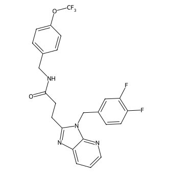 O=C(CCc1nc2cccnc2n1Cc1ccc(F)c(F)c1)NCc1ccc(OC(F)(F)F)cc1